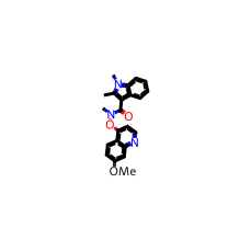 COc1ccc2c(ON(C)C(=O)c3c(C)n(C)c4ccccc34)ccnc2c1